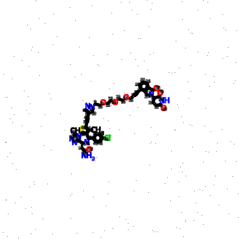 Cc1c(C#Cc2cnn(CCOCCOCCOCC#Cc3cccc4c3CN(C3CCC(=O)NC3=O)C4=O)c2)sc2c1C(c1ccc(Cl)cc1)=N[C@@H](CC(N)=O)c1nnc(C)n1-2